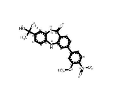 COc1cc(-c2ccc3c(c2)Nc2ccc(C(C)(C)O)cc2NC3=O)ccc1[N+](=O)[O-]